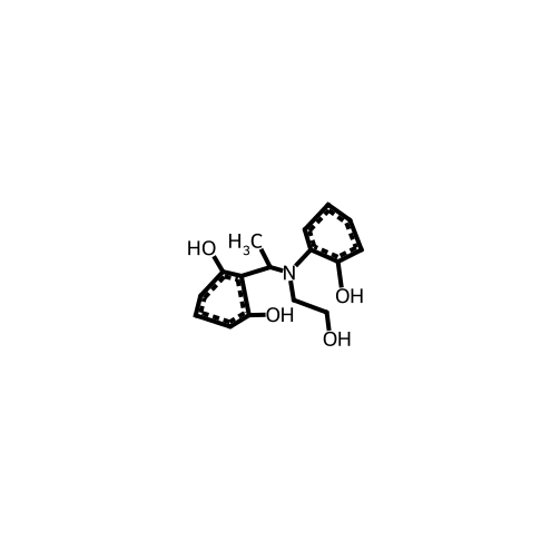 CC(c1c(O)cccc1O)N(CCO)c1ccccc1O